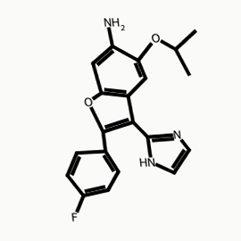 CC(C)Oc1cc2c(-c3ncc[nH]3)c(-c3ccc(F)cc3)oc2cc1N